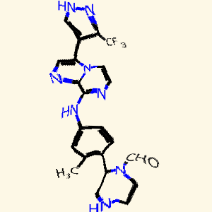 Cc1cc(Nc2nccn3c(-c4c[nH]nc4C(F)(F)F)cnc23)ccc1C1CNCCN1C=O